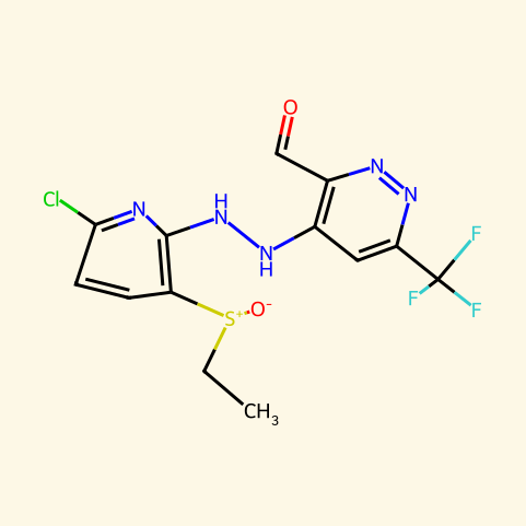 CC[S+]([O-])c1ccc(Cl)nc1NNc1cc(C(F)(F)F)nnc1C=O